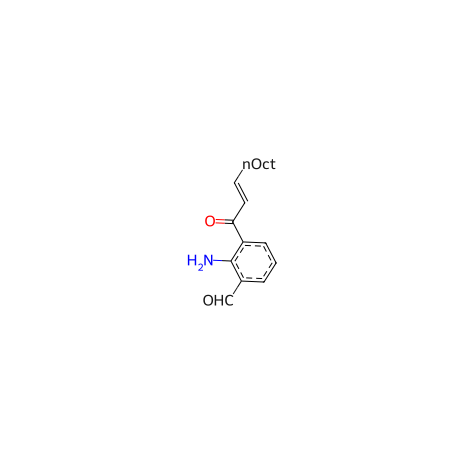 CCCCCCCCC=CC(=O)c1cccc(C=O)c1N